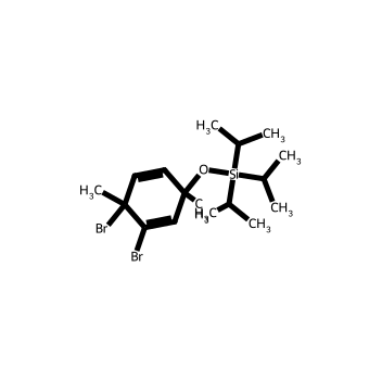 CC(C)[Si](OC1(C)C=CC(C)(Br)C(Br)=C1)(C(C)C)C(C)C